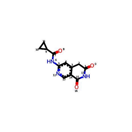 O=C1Cc2cc(NC(=O)C3CC3)ncc2C(=O)N1